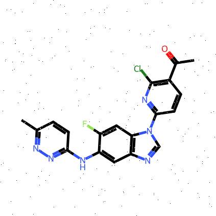 CC(=O)c1ccc(-n2cnc3cc(Nc4ccc(C)nn4)c(F)cc32)nc1Cl